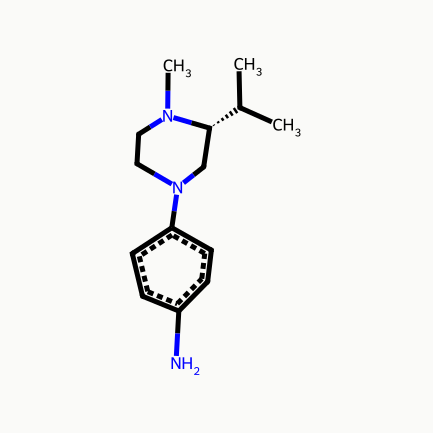 CC(C)[C@@H]1CN(c2ccc(N)cc2)CCN1C